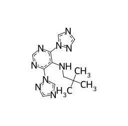 CC(C)(C)CNc1c(-n2cncn2)ncnc1-n1cncn1